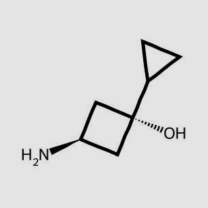 N[C@H]1C[C@@](O)(C2CC2)C1